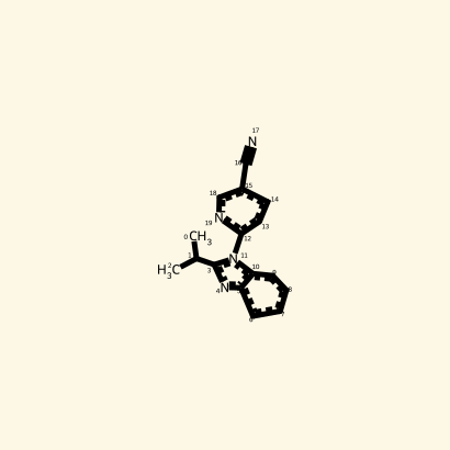 CC(C)c1nc2ccccc2n1-c1ccc(C#N)cn1